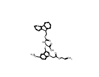 C=CCOC(=O)Cn1cc(C[C@H](NC(=O)OCC2c3ccccc3-c3ccccc32)C(=O)O)c2cc(OC)ccc21